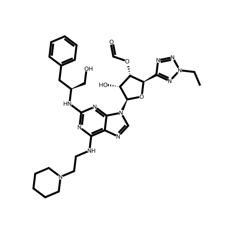 CCn1nnc([C@H]2O[C@@H](n3cnc4c(NCCN5CCCCC5)nc(N[C@H](CO)Cc5ccccc5)nc43)[C@H](O)[C@@H]2OC=O)n1